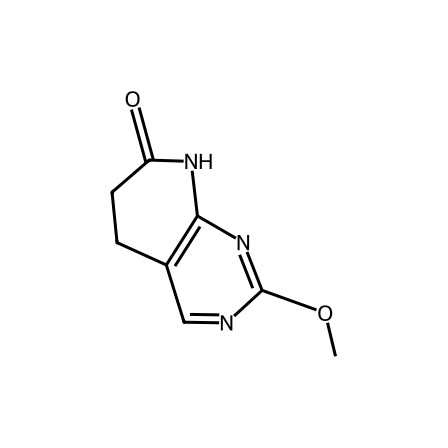 COc1ncc2c(n1)NC(=O)CC2